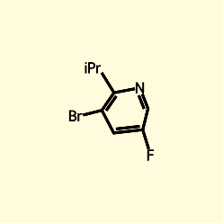 CC(C)c1ncc(F)cc1Br